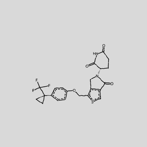 O=C1CC[C@H](N2Cc3c(csc3COc3ccc(C4(C(F)(F)F)CC4)cc3)C2=O)C(=O)N1